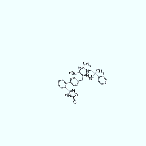 CCCCc1nc(C)n(CC(C)(C)c2ccccc2)c(=O)c1Cc1ccc(-c2ccccc2-c2noc(=O)[nH]2)cc1